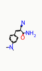 CN(C)c1ccc(C=C(C#N)C(N)=O)cc1